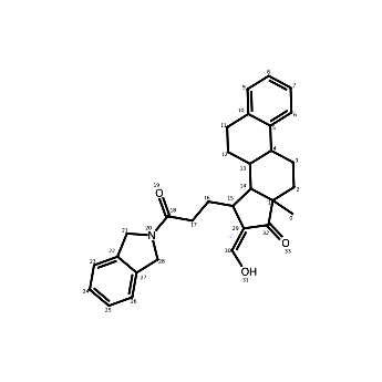 CC12CCC3c4ccccc4CCC3C1C(CCC(=O)N1Cc3ccccc3C1)/C(=C/O)C2=O